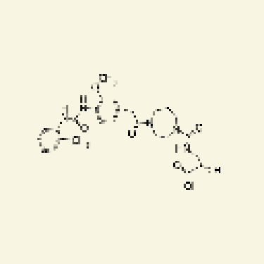 COc1cc(CC(=O)N2CCCN(C(=O)NCC(C)C(=O)O)CC2)ccc1NC(=O)Nc1ccccc1C